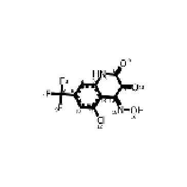 O=C1Nc2cc(C(F)(F)F)cc(Cl)c2C(=NO)C1=O